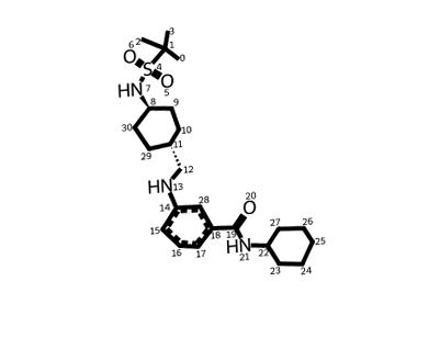 CC(C)(C)S(=O)(=O)N[C@H]1CC[C@H](CNc2cccc(C(=O)NC3CCCCC3)c2)CC1